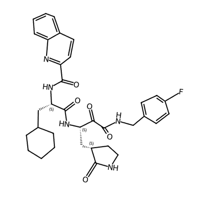 O=C(NCc1ccc(F)cc1)C(=O)[C@H](C[C@@H]1CCNC1=O)NC(=O)[C@H](CC1CCCCC1)NC(=O)c1ccc2ccccc2n1